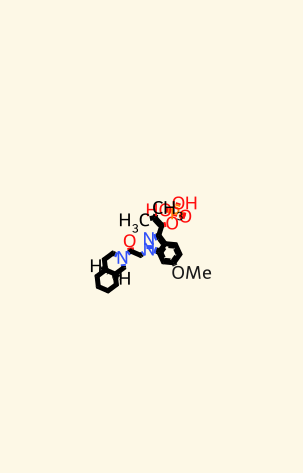 COc1ccc2c(C(OP(=O)(O)O)=C(C)C)nn(CC(=O)N3CC[C@H]4CCCC[C@H]4C3)c2c1